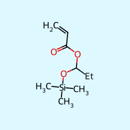 C=CC(=O)OC(CC)O[Si](C)(C)C